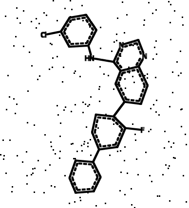 Fc1cc(-c2ccccc2)ccc1-c1ccc2ncnc(Nc3cccc(Cl)c3)c2c1